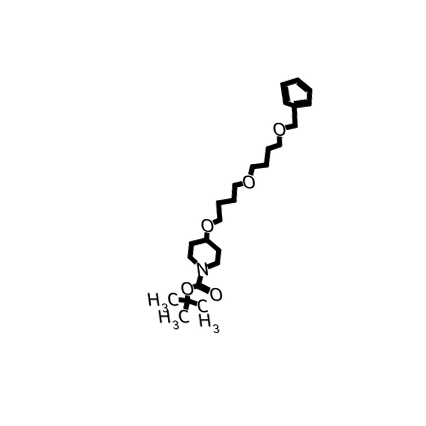 CC(C)(C)OC(=O)N1CCC(OCCCCOCCCCOCc2ccccc2)CC1